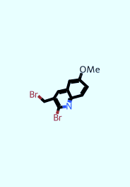 COc1ccc2nc(Br)c(CBr)cc2c1